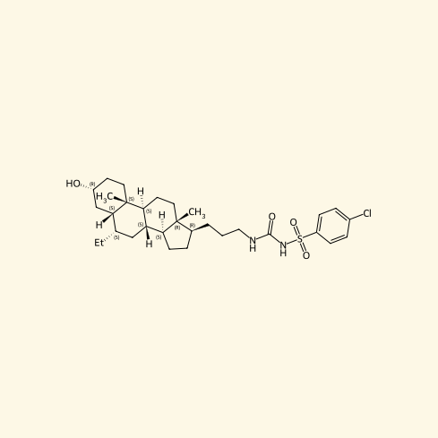 CC[C@H]1C[C@@H]2[C@H](CC[C@]3(C)[C@@H](CCCNC(=O)NS(=O)(=O)c4ccc(Cl)cc4)CC[C@@H]23)[C@@]2(C)CC[C@@H](O)C[C@@H]12